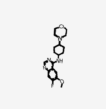 COc1cc2c(NC3CCC(N4CCOCC4)CC3)ncnc2cc1F